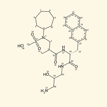 CC(CN(C1CCCCCC1)S(C)(=O)=O)C(=O)N[C@H](Cc1ccc2ccccc2c1)C(=O)NCC(O)CN.Cl